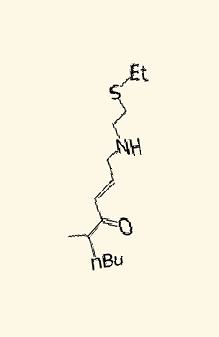 CCCCC(C)C(=O)/C=C/CNCCSCC